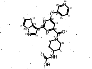 O=C(O)NC1CCN(C(=O)c2cc(Oc3cccnc3)nc(-c3cnn4ccsc34)n2)CC1